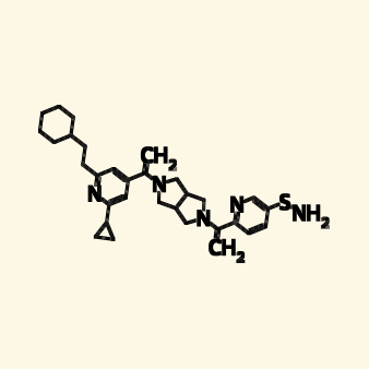 C=C(c1cc(CCC2CCCCC2)nc(C2CC2)c1)N1CC2CN(C(=C)c3ccc(SN)cn3)CC2C1